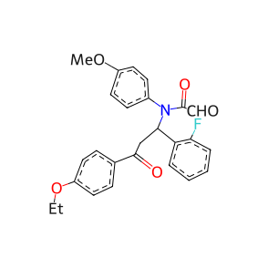 CCOc1ccc(C(=O)CC(c2ccccc2F)N(C(=O)C=O)c2ccc(OC)cc2)cc1